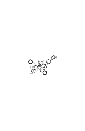 CC(C)[C@H](NC(=O)[C@@H](Cc1ccccc1)C[C@@H](O)[C@H](Cc1ccccc1)NC(=O)OC(C)(C)C)C(=O)N1CCC(n2ccnc2)CC1